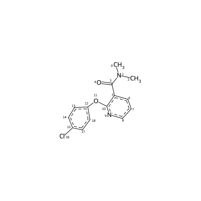 CN(C)C(=O)c1cccnc1Oc1ccc(Cl)cc1